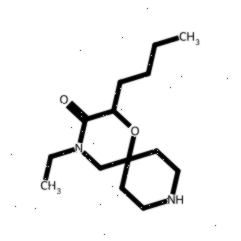 CCCCC1OC2(CCNCC2)CN(CC)C1=O